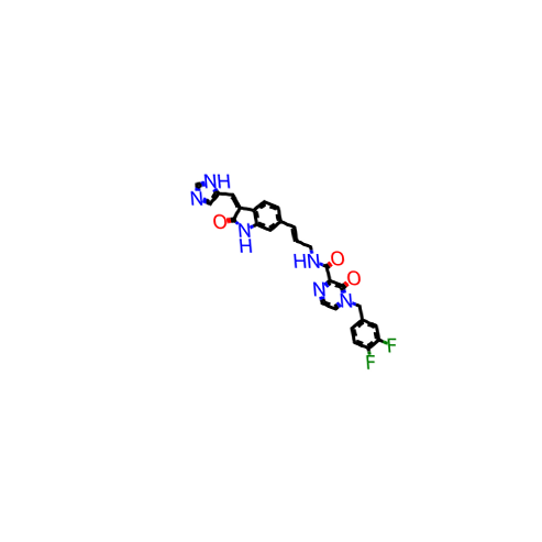 O=C1Nc2cc(C=CCNC(=O)c3nccn(Cc4ccc(F)c(F)c4)c3=O)ccc2C1=Cc1cnc[nH]1